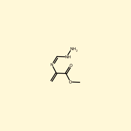 C=C(/N=C\NN)C(=O)OC